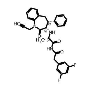 C#CCN1C(=O)[C@@H](N[C@@H](C)C(=O)NC(=O)Cc2cc(F)cc(F)c2)[C@@H](c2ccccc2)Cc2ccccc21